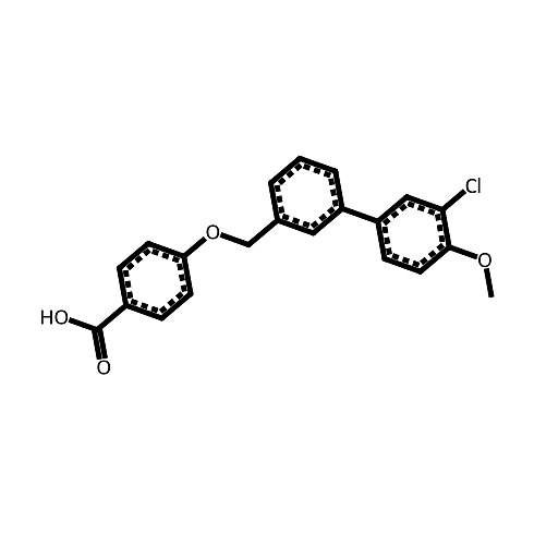 COc1ccc(-c2cccc(COc3ccc(C(=O)O)cc3)c2)cc1Cl